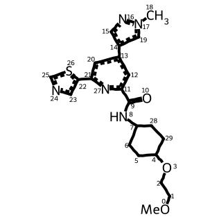 COCCOC1CCC(NC(=O)c2cc(-c3cnn(C)c3)cc(-c3cncs3)n2)CC1